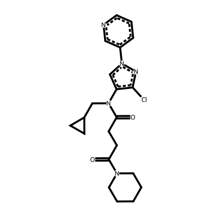 O=C(CCC(=O)N(CC1CC1)c1cn(-c2cccnc2)nc1Cl)N1CCCCC1